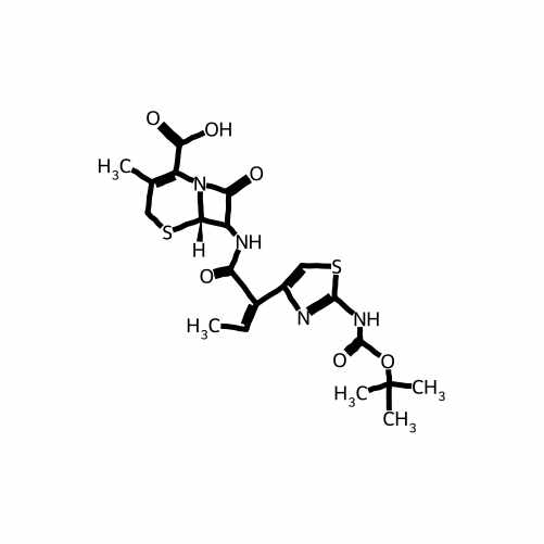 C/C=C(\C(=O)NC1C(=O)N2C(C(=O)O)=C(C)CS[C@@H]12)c1csc(NC(=O)OC(C)(C)C)n1